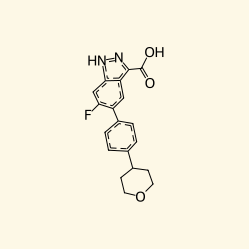 O=C(O)c1n[nH]c2cc(F)c(-c3ccc(C4CCOCC4)cc3)cc12